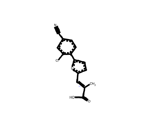 C/C(=C\c1ccc(-c2ccc(C#N)cc2Cl)s1)C(=O)O